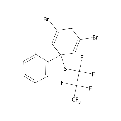 Cc1ccccc1C1(SC(F)(F)C(F)(F)C(F)(F)F)C=C(Br)[CH]C(Br)=C1